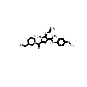 C=C/N=C1\C(=C(/C)Nc2ccc(OC(F)(F)F)cc2)C=C(C(=O)N2CCCC(CO)C2)N1C